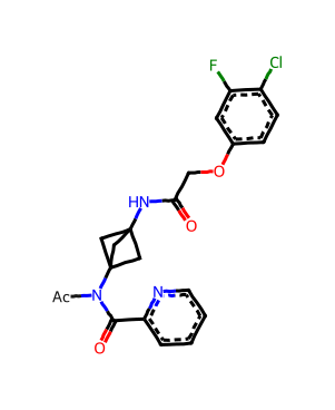 CC(=O)N(C(=O)c1ccccn1)C12CC(NC(=O)COc3ccc(Cl)c(F)c3)(C1)C2